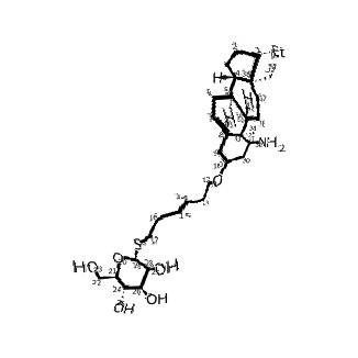 CC[C@H]1CC[C@H]2[C@@H]3CC=C4CC(OCCCCCCS[C@@H]5O[C@H](CO)[C@@H](O)[C@H](O)[C@@H]5O)CC(N)[C@]4(C)[C@H]3CC[C@]12C